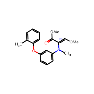 CO/C=C(/C(=O)OC)N(C)c1cccc(Oc2ccccc2C)c1